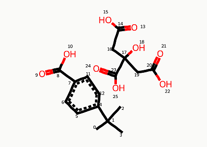 CC(C)(C)c1ccc(C(=O)O)cc1.O=C(O)CC(O)(CC(=O)O)C(=O)O